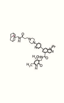 Cc1cc(C)c(CNC(=O)c2cc(-c3ccc(N4CCN(CCC(=O)NCC56CC7CC(CC(C7)C5)C6)CC4)nc3)cc3c2cnn3C(C)C)c(=O)[nH]1